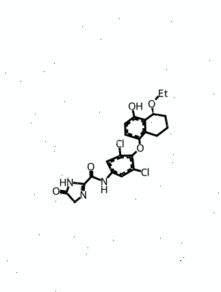 CCO[C@H]1CCCc2c(Oc3c(Cl)cc(NC(=O)C4=NCC(=O)N4)cc3Cl)ccc(O)c21